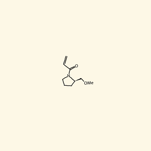 C=CC(=O)N1CCC[C@@H]1COC